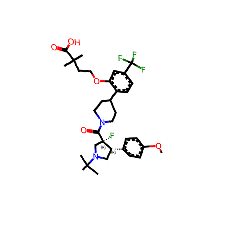 COc1ccc([C@@H]2CN(C(C)(C)C)C[C@@]2(F)C(=O)N2CCC(c3ccc(C(F)(F)F)cc3OCCC(C)(C)C(=O)O)CC2)cc1